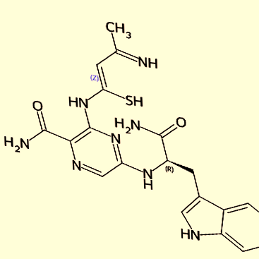 CC(=N)/C=C(\S)Nc1nc(N[C@H](Cc2c[nH]c3ccccc23)C(N)=O)cnc1C(N)=O